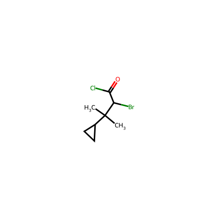 CC(C)(C1CC1)C(Br)C(=O)Cl